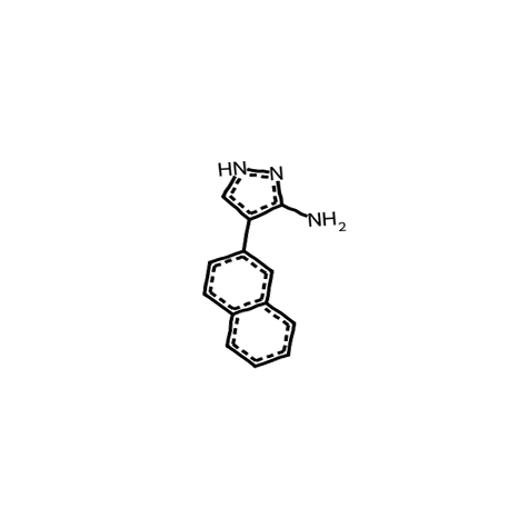 Nc1n[nH]cc1-c1ccc2ccccc2c1